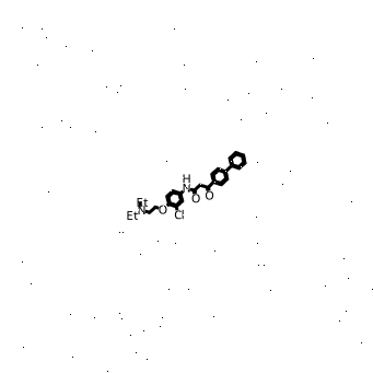 CCN(CC)CCOc1ccc(NC(=O)CC(=O)c2ccc(-c3ccccc3)cc2)cc1Cl